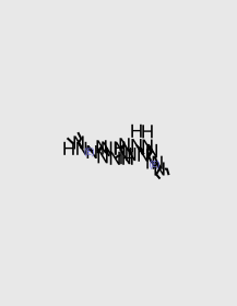 CCN(CC)/N=N/c1n[nH]c(Nc2nnc(Nc3nc(/N=C/NN(CC)CC)n[nH]3)nn2)n1